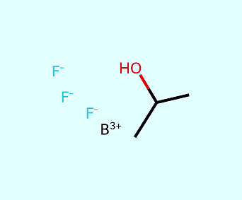 CC(C)O.[B+3].[F-].[F-].[F-]